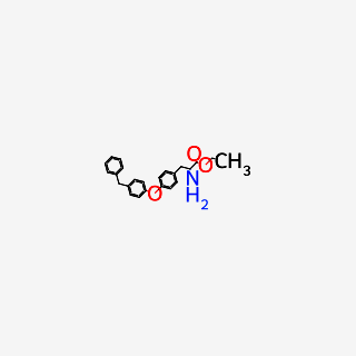 CCOC(=O)C(N)Cc1ccc(Oc2ccc(Cc3ccccc3)cc2)cc1